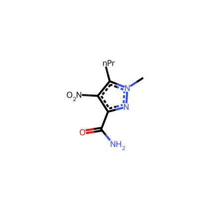 CCCc1c([N+](=O)[O-])c(C(N)=O)nn1C